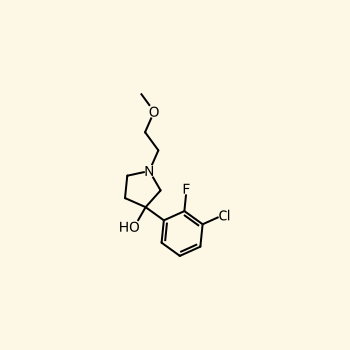 COCCN1CCC(O)(c2cccc(Cl)c2F)C1